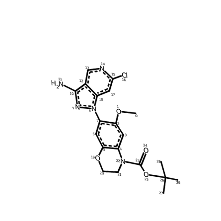 COc1cc2c(cc1-n1nc(N)c3cnc(Cl)cc31)OCCN2C(=O)OC(C)(C)C